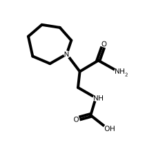 NC(=O)C(CNC(=O)O)N1CCCCCC1